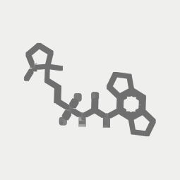 CN1CCCC1(C)CC=CS(=O)(=O)NC(=O)Nc1c2c(cc3c1CCC3)CCC2